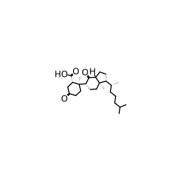 CC(C)CCC[C@@H](C)[C@H]1CC[C@H]2C(=O)[C@@H]([C@@]3(C)CCC(=O)C[C@@H]3C(=O)O)CC[C@]12C